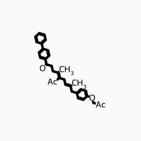 CC(=O)COc1ccc(C/C(C)=C/C/C(C(C)=O)=C(\C)CCC(=O)c2ccc(-c3ccccc3)cc2)cc1